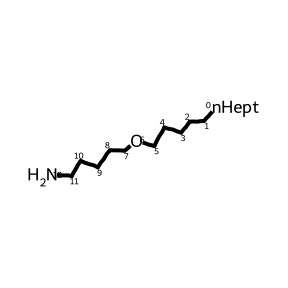 CCCCCCCCCCCCOCCCCCN